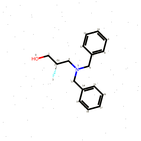 OC[C@@H](F)CN(Cc1ccccc1)Cc1ccccc1